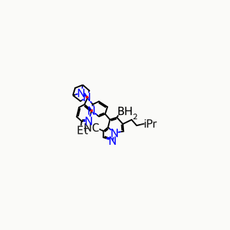 Bc1c(CCC(C)C)cn2ncc(C#N)c2c1-c1ccc(N2CC3CC(C2)N3Cc2ccc(CC)nc2)nc1